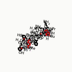 CC[C@@H](C)[C@@H](NC(=O)CNC(=O)[C@@H](C)NC(=O)[C@H](Cc1c[nH]c2ccccc12)NC(=O)[C@H](CC(C)C)NC(=O)[C@@H](NC(=O)[C@H](Cc1ccc(O)cc1)NC(=O)[C@H](CCSC)NC(=O)[C@H](Cc1ccc(O)cc1)NC(=O)[C@H](C)NC(=O)[C@H](Cc1ccc(O)cc1)NC(=O)[C@@H](N)C(C)C)[C@@H](C)CC)C(=O)N[C@H](CC(C)C)C(=O)N[C@H](CCCCN)C(=O)N[C@H](CCCNC(=N)N)C(=O)N[C@H](Cc1c[nH]c2ccccc12)C(=O)O